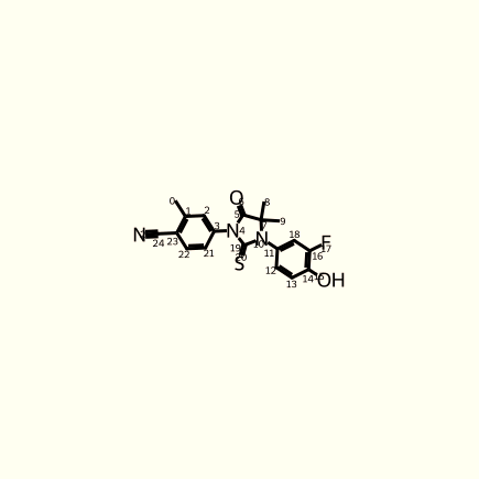 Cc1cc(N2C(=O)C(C)(C)N(c3ccc(O)c(F)c3)C2=S)ccc1C#N